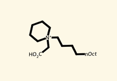 CCCCCCCCCCCC[N+]1(CC(=O)O)CCCCC1